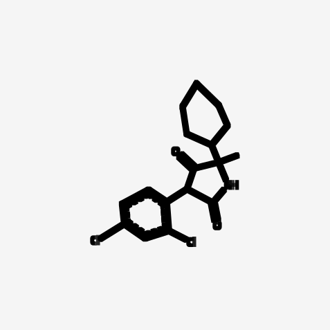 CC1(C2CCCCC2)NC(=O)C(c2ccc(Cl)cc2Cl)C1=O